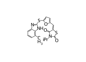 Cc1cccc2nc(Sc3ccc(C=C4SC(=O)N(C(C)C)C4=O)o3)[nH]c12